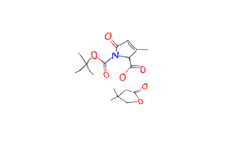 CC1=CC(=O)N(C(=O)OC(C)(C)C)C1C(=O)O[C@@H]1C(=O)OCC1(C)C